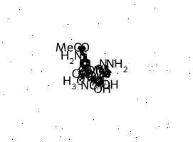 COC(=O)[C@H](C)NP(=O)(OC[C@@]1(C#N)O[C@@H](c2ccc3c(N)ncnn23)[C@H](O)[C@@H]1O)Oc1ccc(C[C@H](N)C(=O)OC)cc1